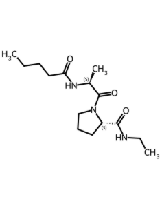 CCCCC(=O)N[C@@H](C)C(=O)N1CCC[C@H]1C(=O)NCC